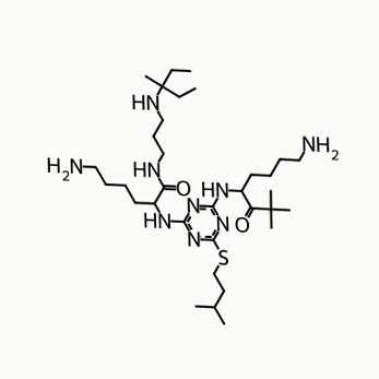 CCC(C)(CC)NCCCNC(=O)C(CCCCN)Nc1nc(NC(CCCCN)C(=O)C(C)(C)C)nc(SCCC(C)C)n1